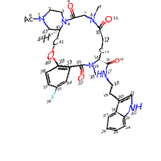 CC(=O)N1CCN2C(=O)CN(C)C(=O)CC[C@H](C(=O)NCCc3c[nH]c4ccccc34)N(C)C(=O)c3cc(F)ccc3OC[C@H]2C1